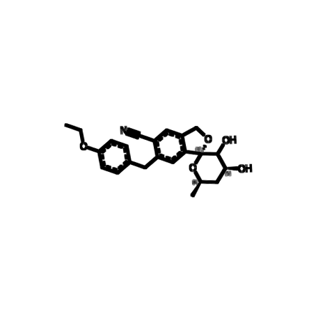 CCOc1ccc(Cc2cc3c(cc2C#N)CO[C@]32O[C@H](C)C[C@H](O)C2O)cc1